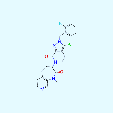 CN1C(=O)C(N2CCc3c(nn(Cc4ccccc4F)c3Cl)C2=O)CCc2ccncc21